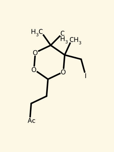 CC(=O)CCC1OOC(C)(C)C(C)(CI)O1